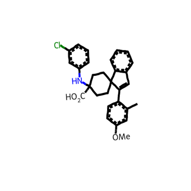 COc1ccc(C2=Cc3ccccc3C23CCC(Nc2cccc(Cl)c2)(C(=O)O)CC3)c(C)c1